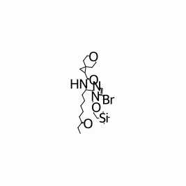 CCC(=O)CCCCCC(NC(=O)C1CC12CCOCC2)c1ncc(Br)n1COCC[Si](C)(C)C